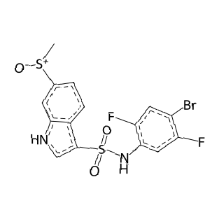 C[S+]([O-])c1ccc2c(S(=O)(=O)Nc3cc(F)c(Br)cc3F)c[nH]c2c1